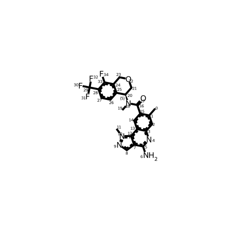 Cc1cc2nc(N)c3cnn(C)c3c2cc1C(=O)N(C)[C@@H]1COCc2c1ccc(C(F)(F)F)c2F